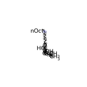 CCCCCCCC/C=C\CCCCCCCCOCC(O)COP(=O)(O)OCCN(C)C